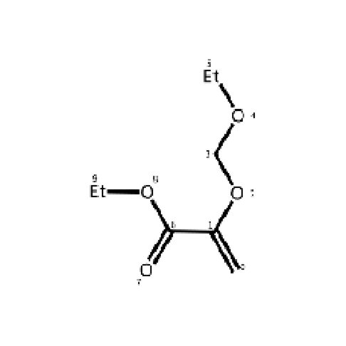 C=C(OCOCC)C(=O)OCC